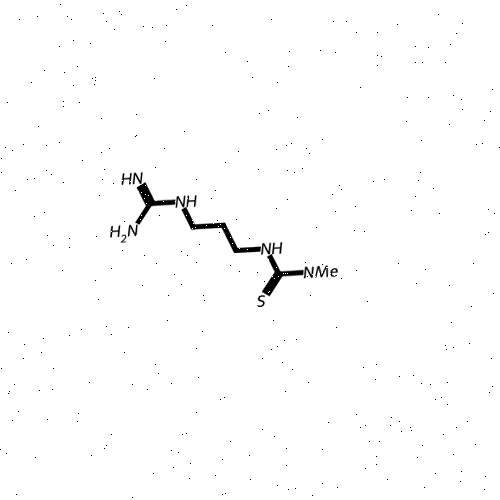 CNC(=S)NCCCNC(=N)N